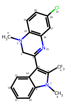 CN1CC(c2c(C(F)(F)F)n(C)c3ccccc23)=Nc2cc(Cl)ccc21